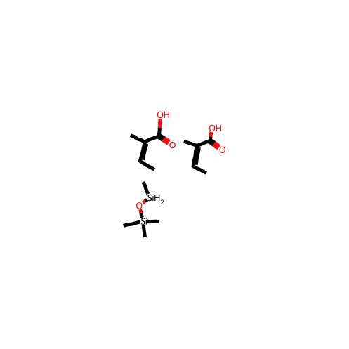 CC=C(C)C(=O)O.CC=C(C)C(=O)O.C[SiH2]O[Si](C)(C)C